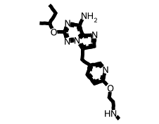 CCC(C)Oc1nc(N)c2ncc(Cc3ccc(OCCNC)nc3)n2n1